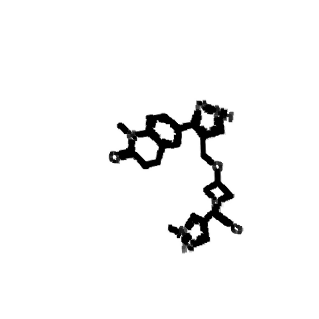 CN1C(=O)CCc2cc(-c3n[nH]cc3COC3CN(C(=O)c4cnn(C)c4)C3)ccc21